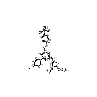 CCOC(=O)c1sc(Nc2nc(NCc3ccc(S(C)(=O)=O)cc3)cc(-c3ccc(C#N)cc3)n2)nc1C